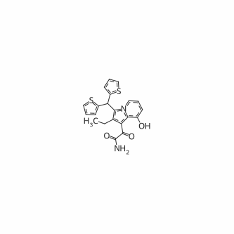 CCc1c(C(=O)C(N)=O)c2c(O)cccn2c1C(c1cccs1)c1cccs1